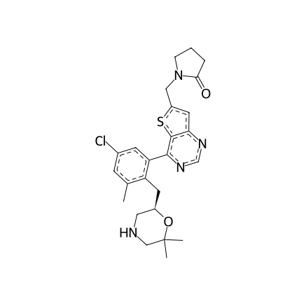 Cc1cc(Cl)cc(-c2ncnc3cc(CN4CCCC4=O)sc23)c1C[C@@H]1CNCC(C)(C)O1